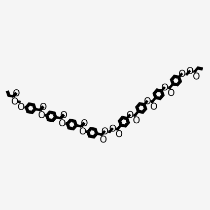 C=CC(=O)OCOc1ccc(C(=O)Oc2ccc(C(=O)Oc3ccc(C(=O)Oc4ccc(C(=O)OCOC(=O)c5ccc(OC(=O)c6ccc(OC(=O)c7ccc(OC(=O)c8ccc(OCOC(=O)C=C)cc8)cc7)cc6)cc5)cc4)cc3)cc2)cc1